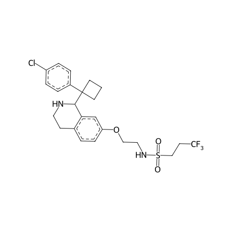 O=S(=O)(CCC(F)(F)F)NCCOc1ccc2c(c1)C(C1(c3ccc(Cl)cc3)CCC1)NCC2